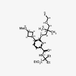 CCOC(=O)C(CC)(CC)NC(=O)c1ccc(N2CC(OC)C2)c(OCC(C)(C)COCF)n1